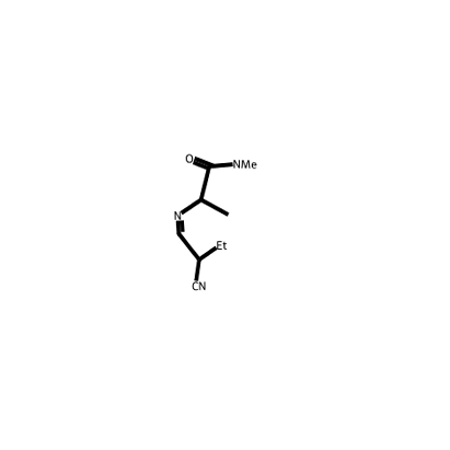 CCC(C#N)/C=N\C(C)C(=O)NC